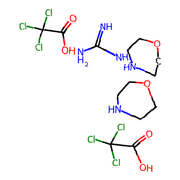 C1COCCN1.C1COCCN1.N=C(N)N.O=C(O)C(Cl)(Cl)Cl.O=C(O)C(Cl)(Cl)Cl